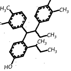 CCC(C)c1cc(O)ccc1C(c1ccc(C)c(F)c1)C(CC)c1ccc(F)c(C)c1